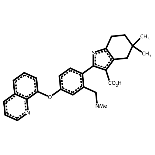 CNCc1cc(Oc2cccc3cccnc23)ccc1-c1sc2c(c1C(=O)O)CC(C)(C)CC2